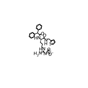 N/C(=N/[N+](=O)[O-])NCCC[C@@H](NC(=O)C(c1ccccc1)c1ccccc1)C(=O)NCc1cccs1